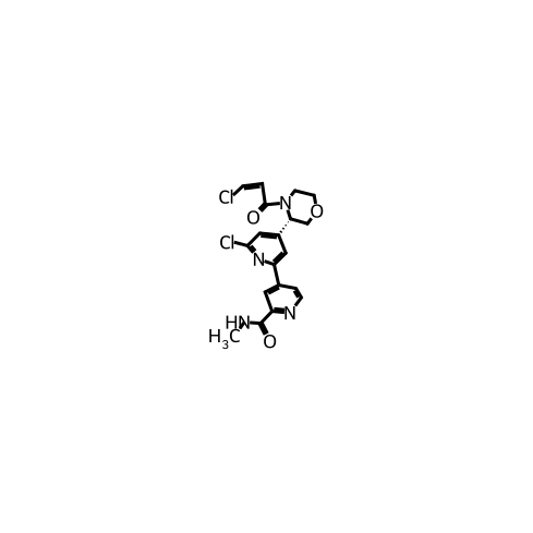 CNC(=O)c1cc(-c2cc([C@H]3COCCN3C(=O)/C=C\Cl)cc(Cl)n2)ccn1